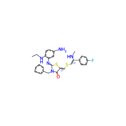 CCNc1ccc(N)cc1N=C1S/C(=C\S/C=C(\NC)c2ccc(F)cc2)C(=O)N1Cc1ccccc1